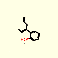 C=CCC(=CC)c1ccccc1O